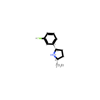 CCOC(=O)[C@H]1CC[C@@H](c2cccc(F)c2)N1